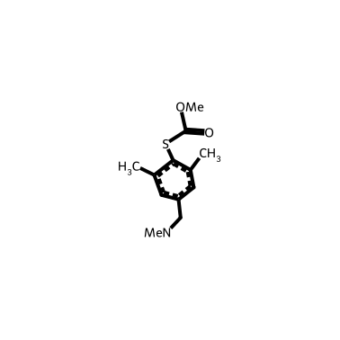 CNCc1cc(C)c(SC(=O)OC)c(C)c1